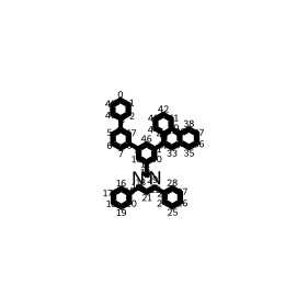 c1ccc(-c2cccc(-c3cc(-c4nc(-c5ccccc5)cc(-c5ccccc5)n4)cc(-c4cc5ccccc5c5ccccc45)c3)c2)cc1